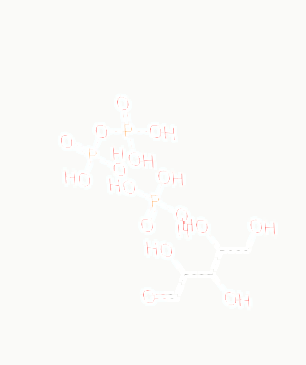 O=CC(O)C(O)C(O)CO.O=P(O)(O)O.O=P(O)(O)OP(=O)(O)O